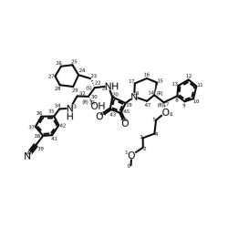 COCCCCO[C@@H](c1ccccc1)[C@@H]1CCCN(c2c(N[C@@H](CC3CCCCC3)[C@H](O)CNCc3ccc(C#N)cc3)c(=O)c2=O)C1